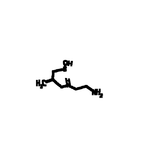 CC(CNCCN)CSO